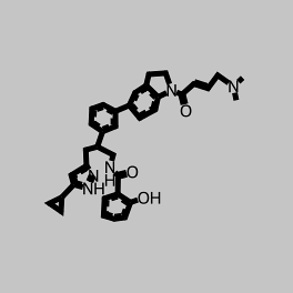 CN(C)C/C=C/C(=O)N1CCc2cc(-c3cccc(C(CNC(=O)c4ccccc4O)Cc4cc(C5CC5)[nH]n4)c3)ccc21